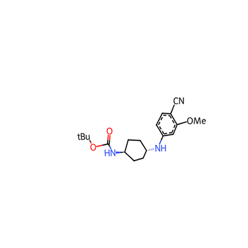 COc1cc(N[C@H]2CC[C@H](NC(=O)OC(C)(C)C)CC2)ccc1C#N